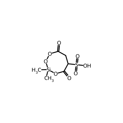 C[Si]1(C)OOC(=O)CC(S(=O)(=O)O)C(=O)O1